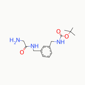 CC(C)(C)OC(=O)NCc1cccc(CNC(=O)CN)c1